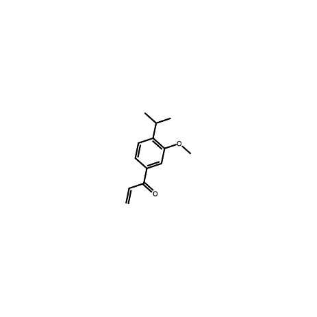 C=CC(=O)c1ccc(C(C)C)c(OC)c1